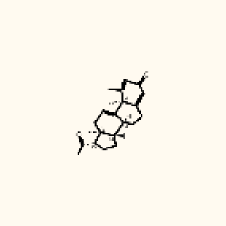 CC(=O)[C@H]1CC[C@H]2[C@@H]3CCC4=CC(=O)C=C(C)[C@]4(C)C3=CC[C@]12C